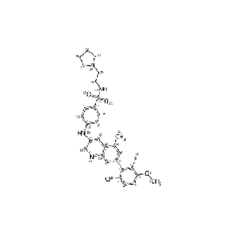 COc1ccc(Cl)c(-c2cc(C)c3nc(Nc4ccc(S(=O)(=O)NCCN5CCCC5)cc4)nnc3c2)c1F